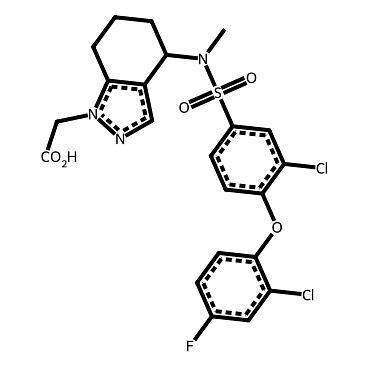 CN(C1CCCc2c1cnn2CC(=O)O)S(=O)(=O)c1ccc(Oc2ccc(F)cc2Cl)c(Cl)c1